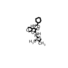 C[C@@H]1CS/C(=N\NC(=O)C(=O)[C@H](NC(=O)C2CCCCCC2)C2CCOCC2)N1C